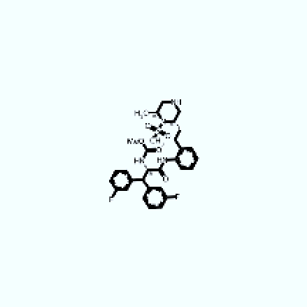 COC(=O)N[C@H](C(=O)Nc1ccccc1CC[C@H]1CNC[C@H](C)N1S(C)(=O)=O)C(c1cccc(F)c1)c1cccc(F)c1